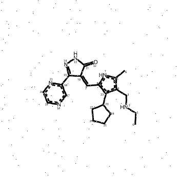 CCNCc1c(C)[nH]c(C=C2C(=O)NN=C2c2cnccn2)c1C1CCCC1